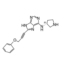 C(#Cc1nc2c(N[C@@H]3CCNC3)ncnc2[nH]1)COc1ccccc1